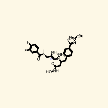 CC(C)(C)n1nnc(-c2ccc(CC(CC(=O)NO)N(N)/C=C(\N)CNC(=O)c3ccc(F)c(F)c3)cc2)n1